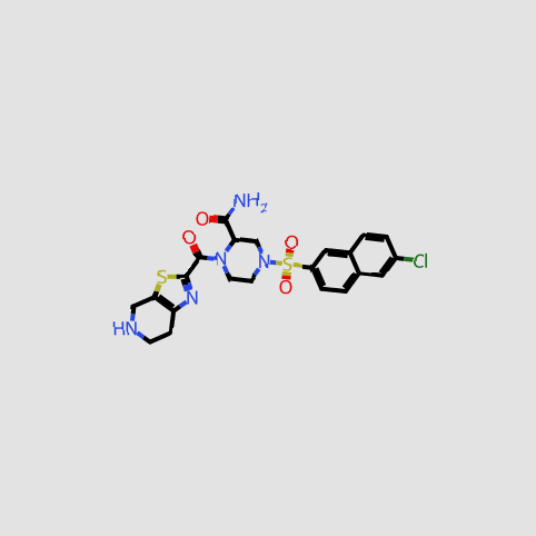 NC(=O)C1CN(S(=O)(=O)c2ccc3cc(Cl)ccc3c2)CCN1C(=O)c1nc2c(s1)CNCC2